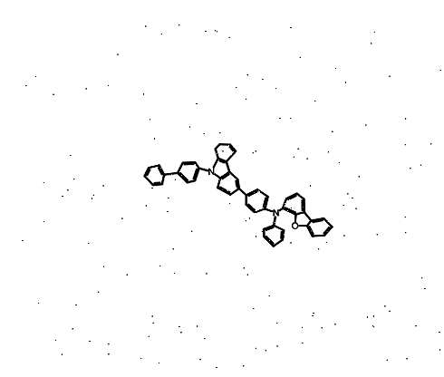 C1=Cc2c(n(-c3ccc(-c4ccccc4)cc3)c3ccc(-c4ccc(N(c5ccccc5)c5cccc6c5oc5ccccc56)cc4)cc23)CC1